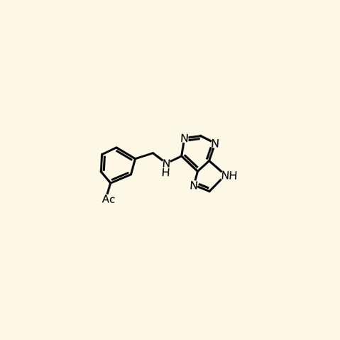 CC(=O)c1cccc(CNc2ncnc3[nH]cnc23)c1